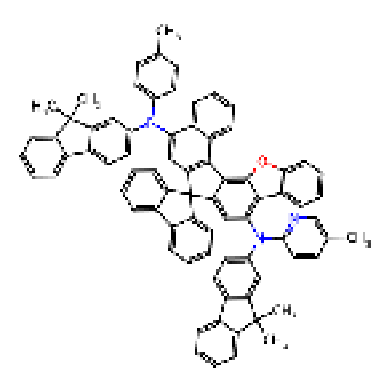 Cc1ccc(N(c2ccc3c(c2)C(C)(C)c2ccccc2-3)c2cc3c(c4ccccc24)-c2c(cc(N(c4ccc5c(c4)C(C)(C)c4ccccc4-5)c4ccc(C)cn4)c4c2oc2ccccc24)C32c3ccccc3-c3ccccc32)cc1